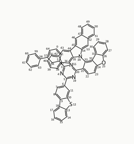 C1=CC(c2nc(-c3ccc4c(c3)sc3ccccc34)nc(-c3ccc4oc5ccccc5c4c3-n3c4cc5ccccc5cc4c4cc5ccccc5cc43)n2)CC(c2ccccc2)=C1